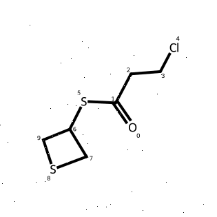 O=C(CCCl)SC1CSC1